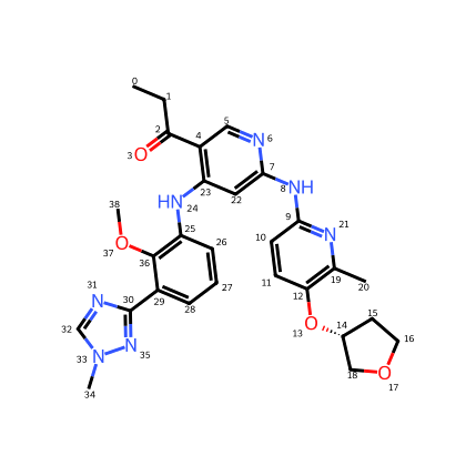 CCC(=O)c1cnc(Nc2ccc(O[C@@H]3CCOC3)c(C)n2)cc1Nc1cccc(-c2ncn(C)n2)c1OC